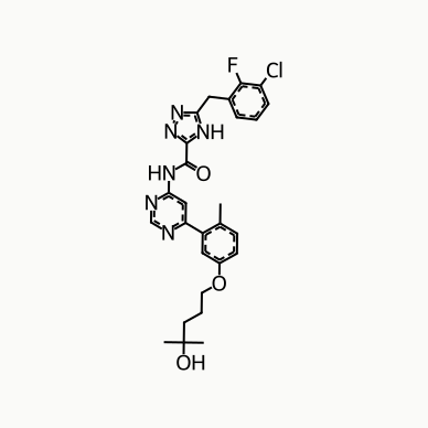 Cc1ccc(OCCCC(C)(C)O)cc1-c1cc(NC(=O)c2nnc(Cc3cccc(Cl)c3F)[nH]2)ncn1